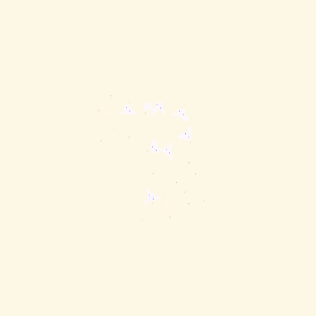 Cc1csc2cc([C@@H](C)n3nc(-c4cnc(OC(C)C)c(F)c4)c4c(N)ncnc43)c(-c3ccccc3)c(=O)n12